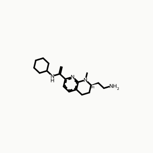 C=C(NC1CCCCC1)c1ccc2c(n1)N(C)[C@@H](CCN)CC2